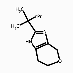 CCCC(C)(C)c1nc2c([nH]1)CCOC2